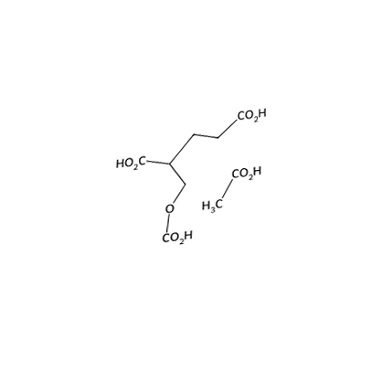 CC(=O)O.O=C(O)CCC(COC(=O)O)C(=O)O